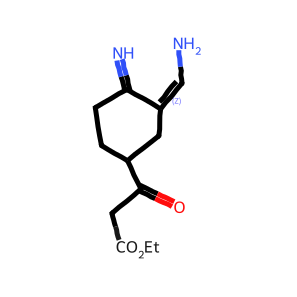 CCOC(=O)CC(=O)C1CCC(=N)/C(=C\N)C1